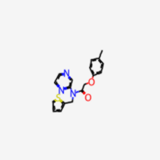 Cc1ccc(OCC(=O)N(Cc2cccs2)c2cnccn2)cc1